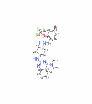 CCN(CC)c1nc(N[C@H]2CC[C@@H](NCc3ccc(Br)cc3OC(F)(F)F)CC2)nc2ccccc12